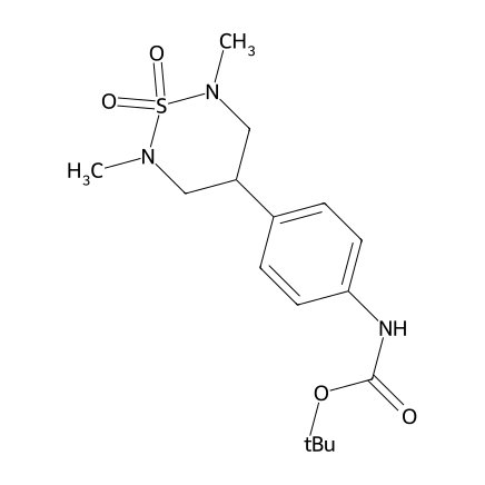 CN1CC(c2ccc(NC(=O)OC(C)(C)C)cc2)CN(C)S1(=O)=O